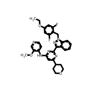 CCOc1cc(F)c(Cn2nc(-c3nc(Nc4ccncc4OC)cc(C4CCOCC4)n3)c3ccccc32)c(F)c1